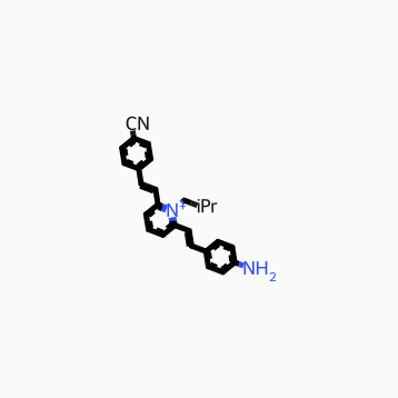 CC(C)C[n+]1c(/C=C/c2ccc(N)cc2)cccc1/C=C/c1ccc(C#N)cc1